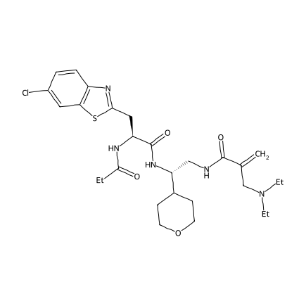 C=C(CN(CC)CC)C(=O)NC[C@@H](NC(=O)[C@H](Cc1nc2ccc(Cl)cc2s1)NC(=O)CC)C1CCOCC1